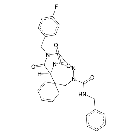 O=C1[C@H]2N3C(=O)CN(C3CN1Cc1ccc(F)cc1)N(C(=O)NCc1ccccc1)CC21C=CC=CC1